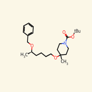 C[C@H](CCCCOC1(C)CCN(C(=O)OC(C)(C)C)CC1)OCc1ccccc1